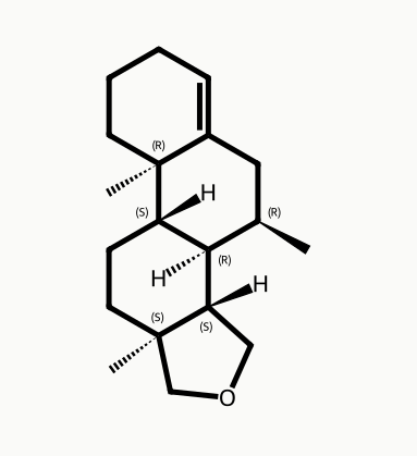 C[C@@H]1CC2=CCCC[C@]2(C)[C@H]2CC[C@]3(C)COC[C@H]3[C@H]12